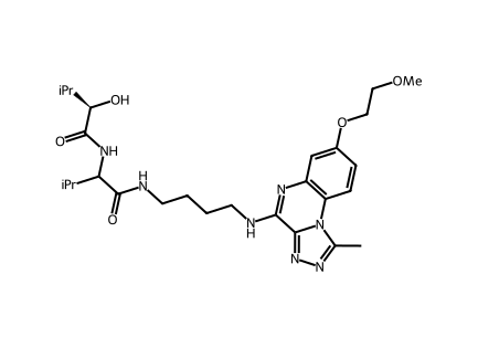 COCCOc1ccc2c(c1)nc(NCCCCNC(=O)C(NC(=O)[C@H](O)C(C)C)C(C)C)c1nnc(C)n12